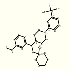 COc1cccc(C(CC2(O)CCCCC2)N2CCN(c3cccc(C(F)(F)F)c3)CC2)c1